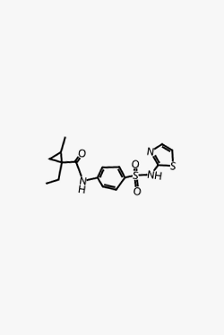 CCC1(C(=O)Nc2ccc(S(=O)(=O)Nc3nccs3)cc2)CC1C